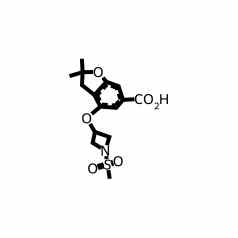 CC1(C)Cc2c(OC3CN(S(C)(=O)=O)C3)cc(C(=O)O)cc2O1